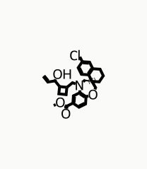 C=CC(O)C1CCC1CN1C[C@@]2(CCCc3cc(Cl)ccc32)COc2ccc(C(=O)OC)cc21